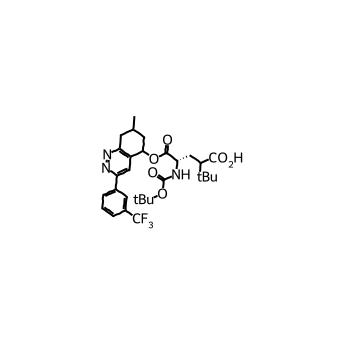 CC1Cc2nnc(-c3cccc(C(F)(F)F)c3)cc2C(OC(=O)[C@H](CC(C(=O)O)C(C)(C)C)NC(=O)OC(C)(C)C)C1